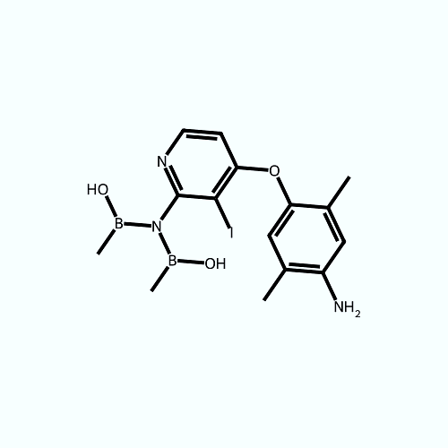 CB(O)N(B(C)O)c1nccc(Oc2cc(C)c(N)cc2C)c1I